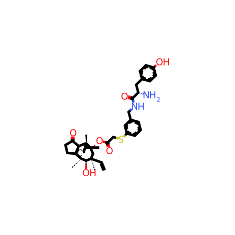 C=C[C@]1(C)C[C@@H](OC(=O)CSc2cccc(CNC(=O)[C@@H](N)Cc3ccc(O)cc3)c2)[C@]2(C)C(C)CCC3(CCC(=O)C32)[C@@H](C)[C@@H]1O